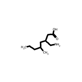 CCCC(C)CC(CN)CC(=O)O